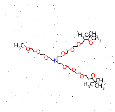 CCOCCOCCOCCN(CCOCCOCCOCCC(=O)C(C)(C)C)CCOCCOCCOCCC(=O)C(C)(C)C